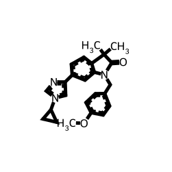 COc1ccc(CN2C(=O)C(C)(C)c3ccc(-c4cn(C5CC5)cn4)cc32)cc1